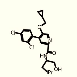 CC(C)CC(CO)NC(=O)c1cc(-c2ccc(Cl)cc2Cl)c(OCC2CC2)cn1